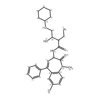 CC(C)CC(C(=O)NC1N=C(c2ccccc2)c2cc(Cl)ccc2N(C)C1=O)C(O)COC1CCCCC1